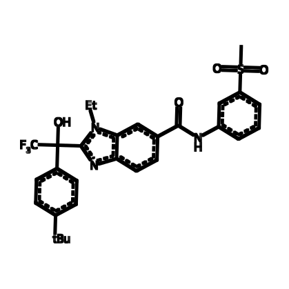 CCn1c(C(O)(c2ccc(C(C)(C)C)cc2)C(F)(F)F)nc2ccc(C(=O)Nc3cccc(S(C)(=O)=O)c3)cc21